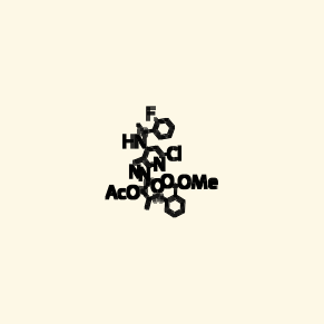 C=C1[C@H](c2ccccc2C(=O)OC)O[C@@H](n2ncc3c(N[C@@H](C)c4ccccc4F)cc(Cl)nc32)[C@@H]1OC(C)=O